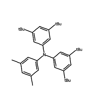 Cc1cc(C)cc(N(c2cc(C(C)(C)C)cc(C(C)(C)C)c2)c2cc(C(C)(C)C)cc(C(C)(C)C)c2)c1